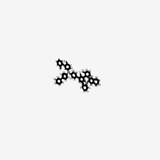 Cc1ccccc1-c1cc(N(c2ccc(-c3ccccc3)cc2)c2ccc(-c3cc4c5ccccc5n(-c5ccc6ccccc6c5)c4c(-c4ccccc4C)c3C)cc2)ccc1C